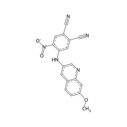 COc1ccc2cc(Nc3cc(C#N)c(C#N)cc3[N+](=O)[O-])cnc2c1